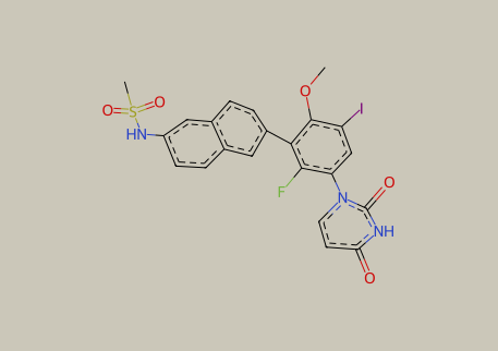 COc1c(I)cc(-n2ccc(=O)[nH]c2=O)c(F)c1-c1ccc2cc(NS(C)(=O)=O)ccc2c1